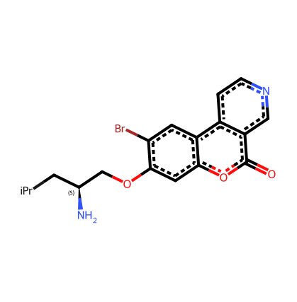 CC(C)C[C@H](N)COc1cc2oc(=O)c3cnccc3c2cc1Br